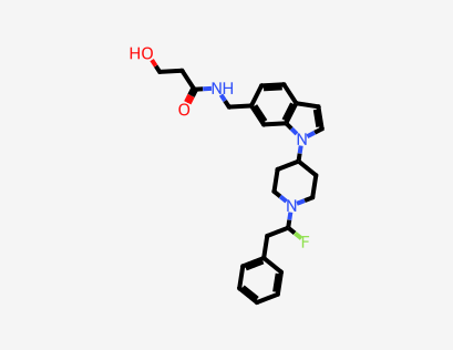 O=C(CCO)NCc1ccc2ccn(C3CCN(C(F)Cc4ccccc4)CC3)c2c1